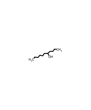 C=CCCCCC(O)CCCC